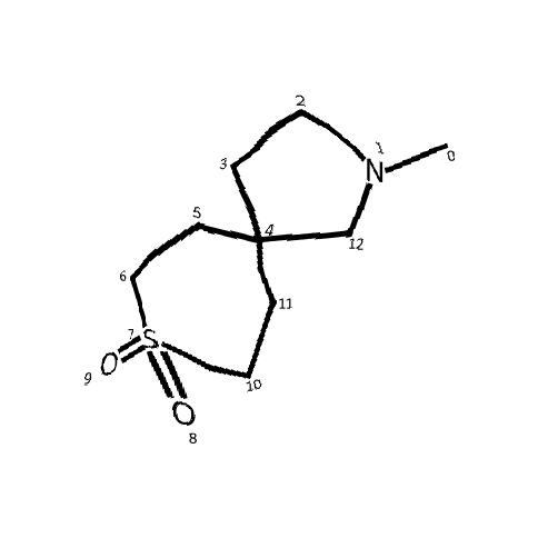 CN1CCC2(CCS(=O)(=O)CC2)C1